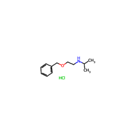 CC(C)NCCOCc1ccccc1.Cl